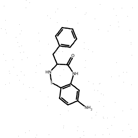 Nc1ccc2c(c1)NC(=O)C(Cc1ccccc1)NS2